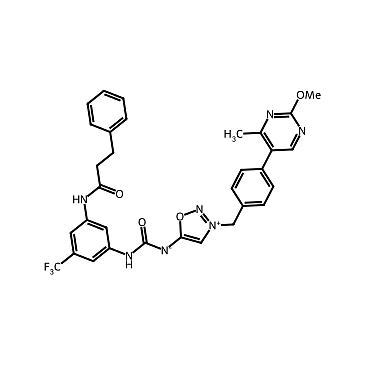 COc1ncc(-c2ccc(C[n+]3cc([N-]C(=O)Nc4cc(NC(=O)CCc5ccccc5)cc(C(F)(F)F)c4)on3)cc2)c(C)n1